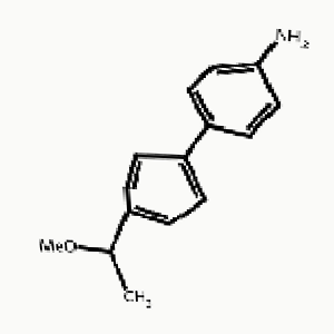 COC(C)c1ccc(-c2ccc(N)cc2)cc1